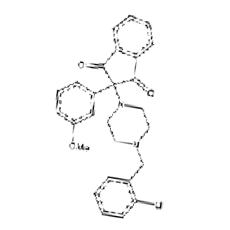 COc1cccc(C2(N3CCN(Cc4ccccc4Cl)CC3)C(=O)c3ccccc3C2=O)c1